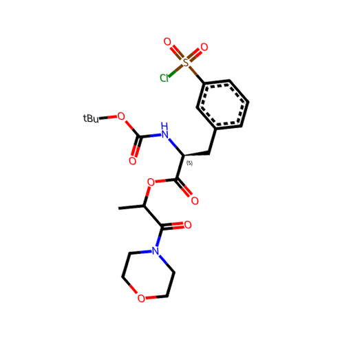 CC(OC(=O)[C@H](Cc1cccc(S(=O)(=O)Cl)c1)NC(=O)OC(C)(C)C)C(=O)N1CCOCC1